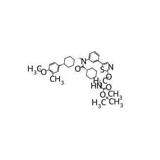 COc1ncc(-c2cccc(N(C[C@H]3CC[C@H](c4ccc(OC)c(C)c4)CC3)C(=O)[C@H]3CC[C@H](CNC(=O)OC(C)(C)C)CC3)c2)s1